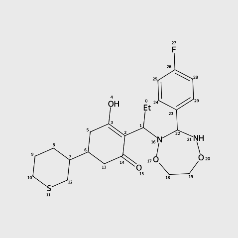 CCC(C1=C(O)CC(C2CCCSC2)CC1=O)N1OCCONC1c1ccc(F)cc1